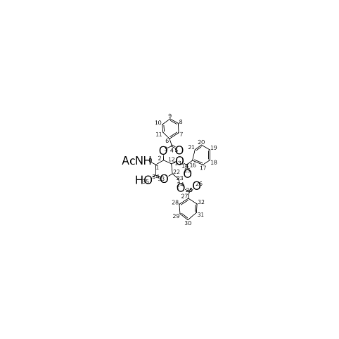 CC(=O)NC1C(OC(=O)c2ccccc2)[C@@H](OC(=O)c2ccccc2)C(COC(=O)c2ccccc2)O[C@H]1O